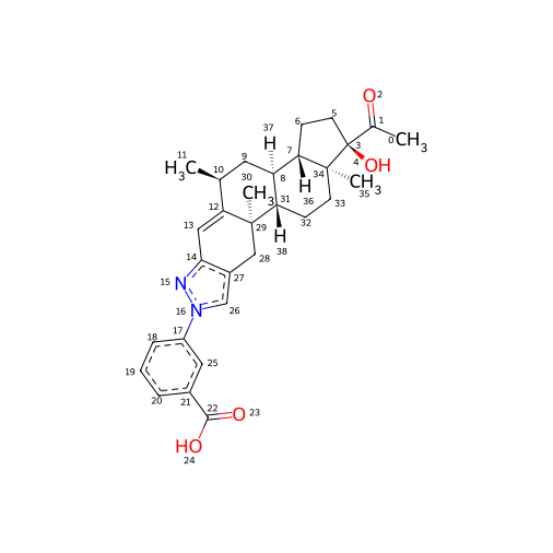 CC(=O)[C@@]1(O)CC[C@H]2[C@@H]3C[C@H](C)C4=Cc5nn(-c6cccc(C(=O)O)c6)cc5C[C@]4(C)[C@H]3CC[C@@]21C